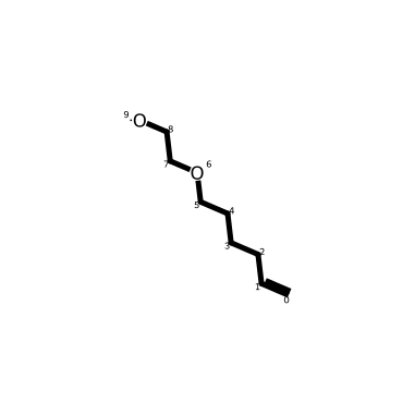 C=CCCCCOCC[O]